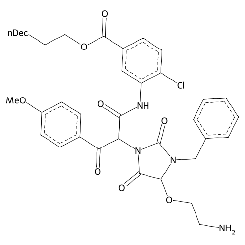 CCCCCCCCCCCCOC(=O)c1ccc(Cl)c(NC(=O)C(C(=O)c2ccc(OC)cc2)N2C(=O)C(OCCN)N(Cc3ccccc3)C2=O)c1